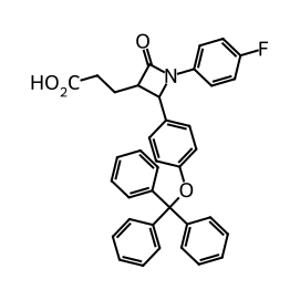 O=C(O)CCC1C(=O)N(c2ccc(F)cc2)C1c1ccc(OC(c2ccccc2)(c2ccccc2)c2ccccc2)cc1